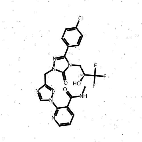 CNC(=O)c1cccnc1-n1cnc(Cn2nc(-c3ccc(Cl)cc3)n(C[C@H](O)C(F)(F)F)c2=O)n1